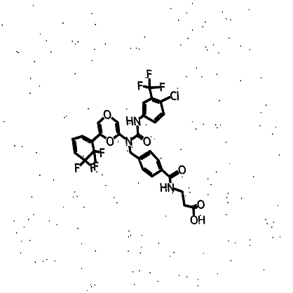 O=C(O)CCNC(=O)c1ccc(CN(C(=O)Nc2ccc(Cl)c(C(F)(F)F)c2)C2=COC=C(C3=CC=CC(F)(F)C3(F)F)O2)cc1